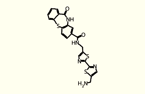 NCc1cnc(-c2ncc(CNC(=O)c3ccc4c(c3)NC(=O)c3ccccc3S4)s2)s1